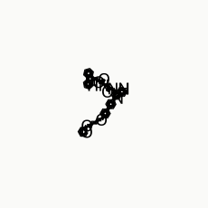 O=C(CNC(=O)OCC1c2ccccc2-c2ccccc21)Nc1cc(-c2ccc(-c3ccc(OCCCCOC4CCCCO4)cc3)cc2)nc2ccncc12